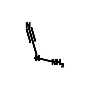 N#C[N]N